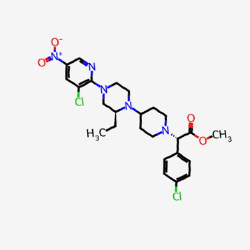 CC[C@H]1CN(c2ncc([N+](=O)[O-])cc2Cl)CCN1C1CCN([C@H](C(=O)OC)c2ccc(Cl)cc2)CC1